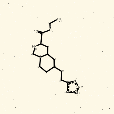 CCOC(=O)C1CC2CC(CCc3nn[nH]n3)CCC2CN1